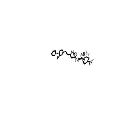 CN(C)C1CCN(C(N)=Nc2cc(CCc3ccc(-c4ccccc4)c(F)c3)no2)CC1